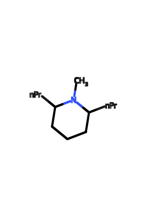 CCCC1CCCC(CCC)N1C